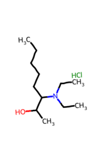 CCCCCC(C(C)O)N(CC)CC.Cl